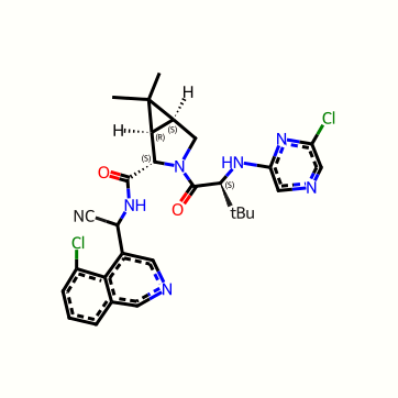 CC(C)(C)[C@H](Nc1cncc(Cl)n1)C(=O)N1C[C@H]2[C@@H]([C@H]1C(=O)NC(C#N)c1cncc3cccc(Cl)c13)C2(C)C